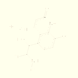 CCC(NC(C)C)C(O)c1ccc(O)c2[nH]c(=O)ccc12.Cl.Cl